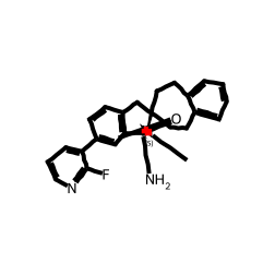 CN1C(=O)[C@@]2(N=C1N)c1cc(-c3cccnc3F)ccc1CC21CCc2ccccc2CC1